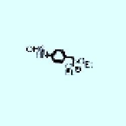 CCOP(=O)(Cc1ccc(NC=O)cc1)OCC